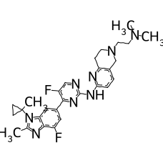 Cc1nc2c(F)cc(-c3nc(Nc4ccc5c(n4)CCN(CCN(C)C)C5)ncc3F)cc2n1C1(C)CC1